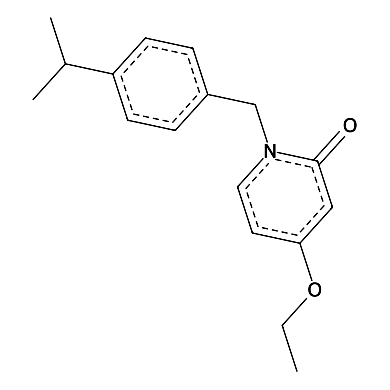 CCOc1ccn(Cc2ccc(C(C)C)cc2)c(=O)c1